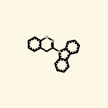 c1ccc2c(c1)CC(n1c3ccccc3c3ccccc31)=NO2